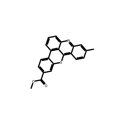 COC(=O)c1ccc2c(c1)Sc1c3ccc(C)cc3nc3cccc-2c13